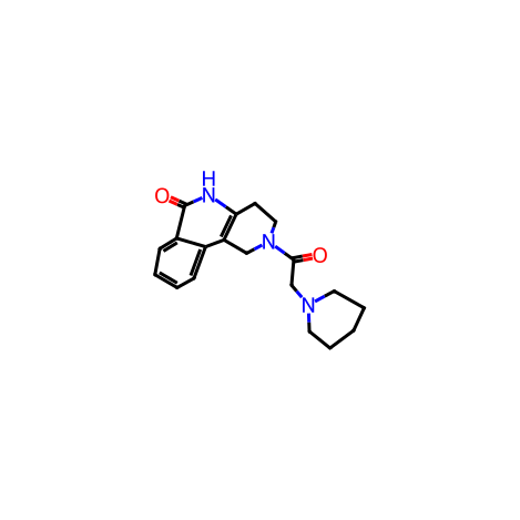 O=C(CN1CCCCC1)N1CCc2[nH]c(=O)c3ccccc3c2C1